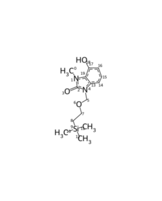 Cn1c(=O)n(COCC[Si](C)(C)C)c2cccc(O)c21